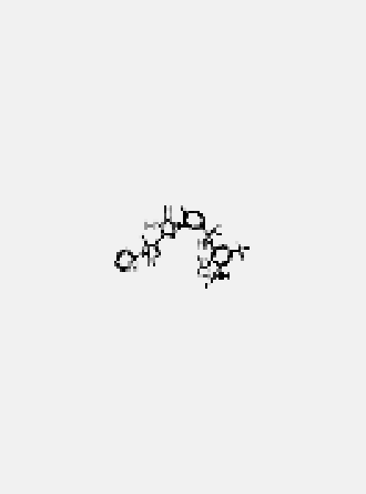 COc1c(NC(=O)c2ccc(C)c(N3C=C(c4cnn(-c5ccccn5)c4C)NN3)c2)cc(C(C)(C)C)cc1N[S+](C)[O-]